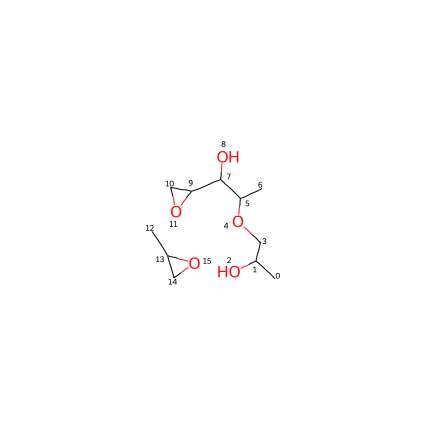 CC(O)COC(C)C(O)C1CO1.CC1CO1